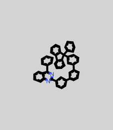 c1ccc(-c2nc(-c3cccc(-c4cccc(-c5cccc(C6(c7ccccc7)c7ccccc7-c7ccccc76)c5)c4)c3)nc3ccccc23)cc1